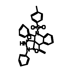 C=CC1c2ccccc2N(S(=O)(=O)c2ccc(C)cc2)C(c2ccccc2)C12C(=O)N(c1ccccc1)NC2(C)Cl